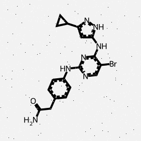 NC(=O)Cc1ccc(Nc2ncc(Br)c(Nc3cc(C4CC4)n[nH]3)n2)cc1